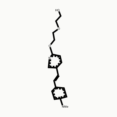 CNc1ccc(/C=C/c2ccc(OCCOCCO)nc2)cc1